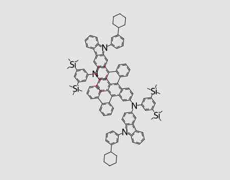 C[Si](C)(C)c1cc(N(c2ccc3c(-c4ccccc4-c4ccccc4)c4cc(N(c5cc([Si](C)(C)C)cc([Si](C)(C)C)c5)c5ccc6c(c5)c5ccccc5n6-c5cccc(C6CCCCC6)c5)ccc4c(-c4ccccc4-c4ccccc4)c3c2)c2ccc3c(c2)c2ccccc2n3-c2cccc(C3CCCCC3)c2)cc([Si](C)(C)C)c1